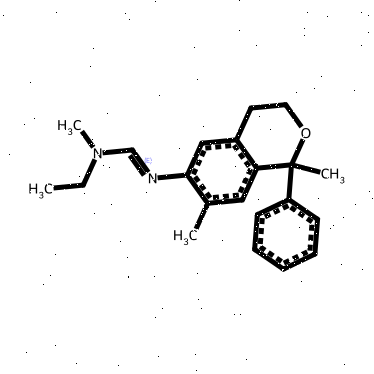 CCN(C)/C=N/c1cc2c(cc1C)C(C)(c1ccccc1)OCC2